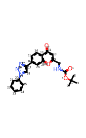 CC(C)(C)OC(=O)NCc1cc(=O)c2ccc(-c3cn(-c4ccccc4)nn3)cc2o1